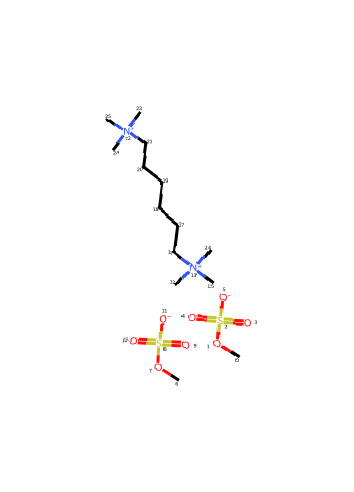 COS(=O)(=O)[O-].COS(=O)(=O)[O-].C[N+](C)(C)CCCCCC[N+](C)(C)C